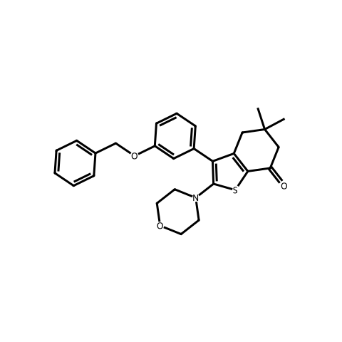 CC1(C)CC(=O)c2sc(N3CCOCC3)c(-c3cccc(OCc4ccccc4)c3)c2C1